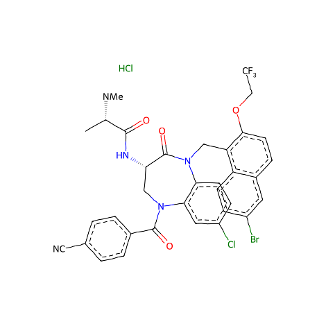 CN[C@@H](C)C(=O)N[C@H]1CN(C(=O)c2ccc(C#N)cc2)c2cc(Cl)ccc2N(Cc2c(OCC(F)(F)F)ccc3cc(Br)ccc23)C1=O.Cl